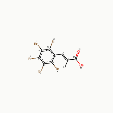 CC(=Cc1c(Br)c(Br)c(Br)c(Br)c1Br)C(=O)O